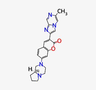 Cc1cn2cc(-c3cc4ccc(N5CCN6CCC[C@H]6C5)cc4oc3=O)nc2cn1